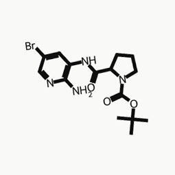 CC(C)(C)OC(=O)N1CCCC1C(=O)Nc1cc(Br)cnc1N